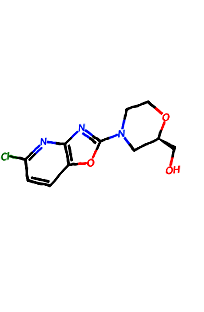 OC[C@H]1CN(c2nc3nc(Cl)ccc3o2)CCO1